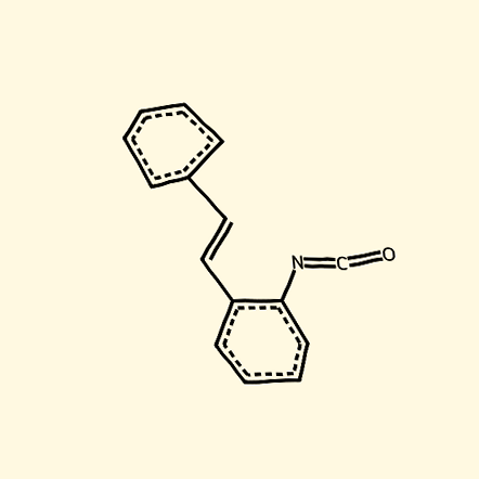 O=C=Nc1ccccc1C=Cc1ccccc1